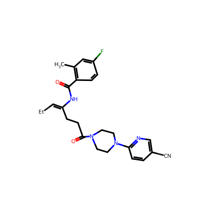 CC/C=C(\CCC(=O)N1CCN(c2ccc(C#N)cn2)CC1)NC(=O)c1ccc(F)cc1C